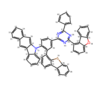 c1ccc(-c2nc(-c3ccc(-n4c5ccccc5c5cc6ccccc6cc54)c(-c4cccc5c4sc4ccccc45)c3)nc(-c3cccc4oc5ccccc5c34)n2)cc1